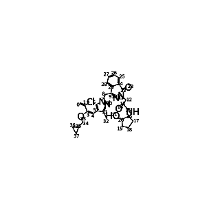 C=C(Cl)/C(=C\c1cn(Cc2nn(CC(=O)NC3CCC[C@@H]3O)c(=O)c3ccccc23)nc1C)OCC1CC1